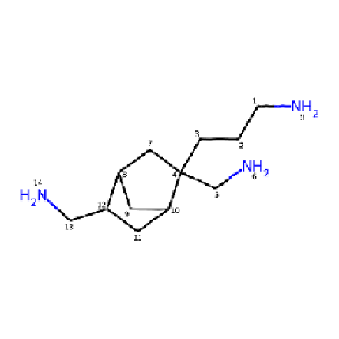 NCCCC1(CN)CC2CC1CC2CN